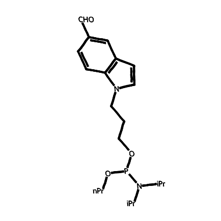 CCCOP(OCCCn1ccc2cc(C=O)ccc21)N(C(C)C)C(C)C